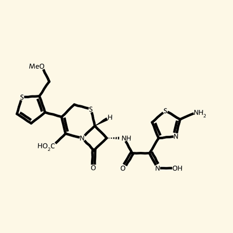 COCc1sccc1C1=C(C(=O)O)N2C(=O)[C@@H](NC(=O)/C(=N/O)c3csc(N)n3)[C@H]2SC1